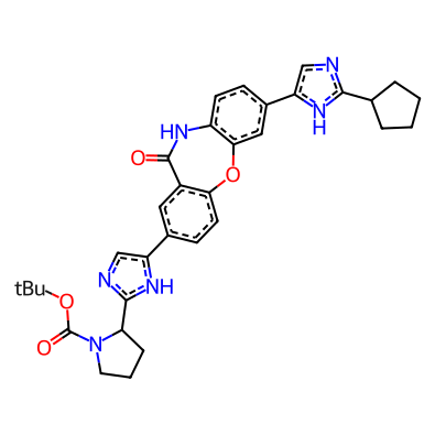 CC(C)(C)OC(=O)N1CCCC1c1ncc(-c2ccc3c(c2)C(=O)Nc2ccc(-c4cnc(C5CCCC5)[nH]4)cc2O3)[nH]1